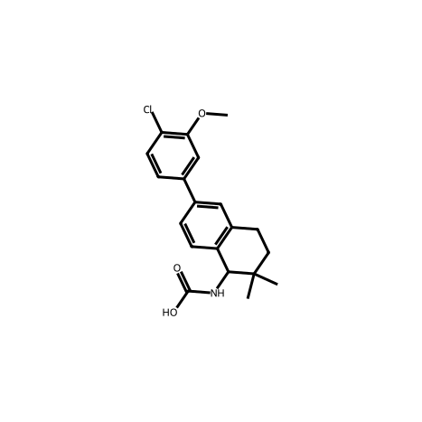 COc1cc(-c2ccc3c(c2)CCC(C)(C)C3NC(=O)O)ccc1Cl